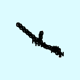 C#CCOCCOCCOCCOCCC(=O)N(CC(=O)NCCOCCOCCOCCOCCOCCOCCOCCOCCOCCOCCOCCOC)CC(=O)NCCn1cc(COCCOCCOCCOCCNC(=O)c2ncn(-c3ncc(OC)c4c(C(=O)C(=O)N5CCC(=C(C#N)c6ccccc6)CC5)c[nH]c34)n2)nn1